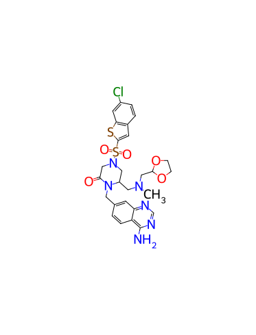 CN(CC1OCCO1)CC1CN(S(=O)(=O)c2cc3ccc(Cl)cc3s2)CC(=O)N1Cc1ccc2c(N)ncnc2c1